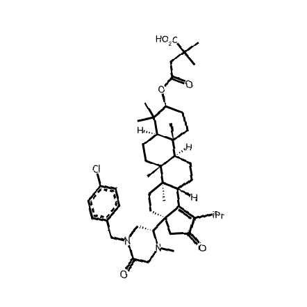 CC(C)C1=C2[C@H]3CC[C@@H]4[C@@]5(C)CC[C@H](OC(=O)CC(C)(C)C(=O)O)C(C)(C)[C@@H]5CC[C@@]4(C)[C@]3(C)CC[C@@]2([C@H]2CN(Cc3ccc(Cl)cc3)C(=O)CN2C)CC1=O